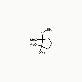 COC1(OC)CCCC1(OC)O[SiH3]